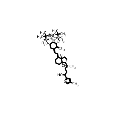 C=C1/C(=C\C=C2/CCC[C@]3(C)[C@@H]([C@H](C)CCC(O)c4cc(C)cs4)CC[C@@H]23)C[C@@H](O[Si](C)(C)C(C)(C)C)C[C@@H]1O[Si](C)(C)C(C)(C)C